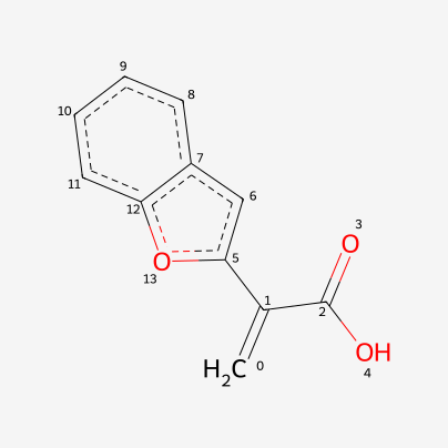 C=C(C(=O)O)c1cc2ccccc2o1